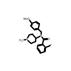 COc1ccc(CN(C(=O)c2ccccc2F)C2CCN(C)CC2)cc1